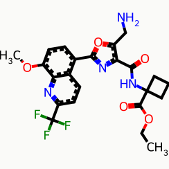 CCOC(=O)C1(NC(=O)c2nc(-c3ccc(OC)c4nc(C(F)(F)F)ccc34)oc2CN)CCC1